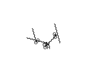 CCCCCCCCC(CCCCCC)C(=O)OCCCCCCN(CCO)C[C@H](O)CCCCOC(=O)C(CCCCCC)CCCCCCCC